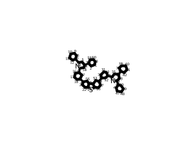 c1ccc(-c2cc(-c3ccccc3)nc(-c3cccc(-c4ccc5sc6ccc(-c7cccc(-c8cc(-c9ccccc9)cc(-c9ccccc9)n8)c7)cc6c5c4)c3)c2)cc1